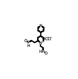 Cl.O=[PH]=CCc1cc(-c2ccncc2)cc[n+]1CC=[PH]=O.[Cl-]